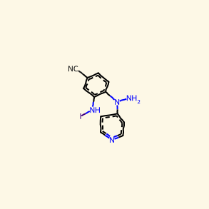 N#Cc1ccc(N(N)c2ccncc2)c(NI)c1